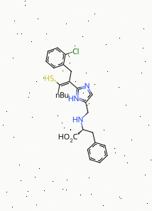 CCCCC(S)=C(Cc1ccccc1Cl)c1ncc(CN[C@@H](Cc2ccccc2)C(=O)O)[nH]1